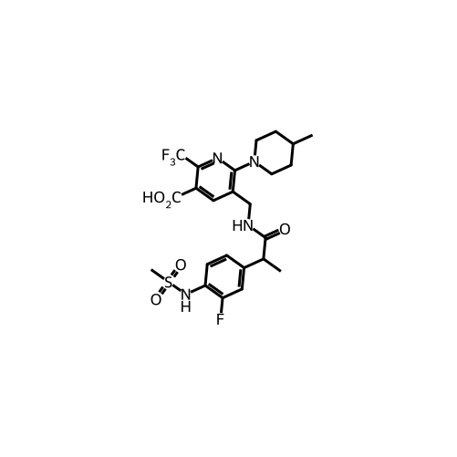 CC1CCN(c2nc(C(F)(F)F)c(C(=O)O)cc2CNC(=O)C(C)c2ccc(NS(C)(=O)=O)c(F)c2)CC1